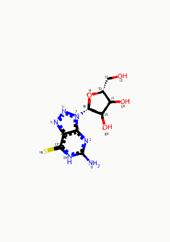 Nc1nc2c(nnn2[C@@H]2O[C@H](CO)C(O)C2O)c(=S)[nH]1